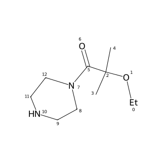 CCOC(C)(C)C(=O)N1CCNCC1